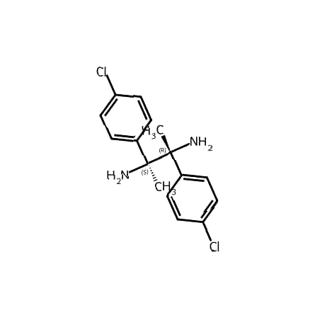 C[C@](N)(c1ccc(Cl)cc1)[C@](C)(N)c1ccc(Cl)cc1